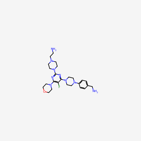 NCCN1CCN(c2nc(N3CCOCC3)c(F)c(N3CCN(c4ccc(CN)cc4)CC3)n2)CC1